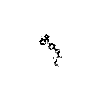 NCCNC(=O)c1cnc(-c2ccc(NCC3(c4ncccc4F)CCC3)nn2)s1